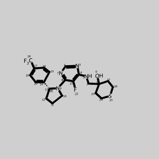 OC1(CNc2ncnc(N3CCC[C@@H]3c3ccc(C(F)(F)F)cc3)c2F)CCSCC1